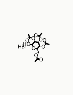 Br.CC(=O)OC[C@H]1OC(O)[C@H](OC(C)=O)[C@@H](OC(C)=O)[C@@H]1OC(C)=O